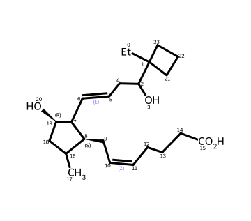 CCC1(C(O)C/C=C/C2[C@@H](C/C=C\CCCC(=O)O)C(C)C[C@H]2O)CCC1